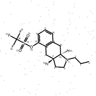 CCCN1CC[C@@H]2Cc3c(cccc3OS(=O)(=O)C(F)(F)F)C[C@H]21